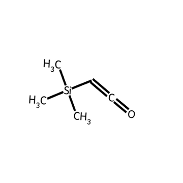 C[Si](C)(C)C=C=O